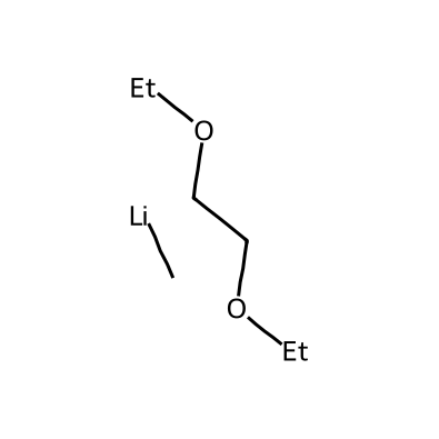 CCOCCOCC.[Li][CH3]